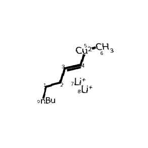 CCCCCCC=[CH][Cu-2][CH3].[Li+].[Li+]